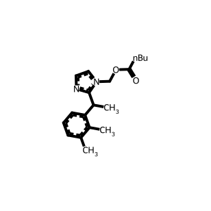 CCCCC(=O)OCn1ccnc1C(C)c1cccc(C)c1C